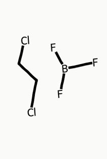 ClCCCl.FB(F)F